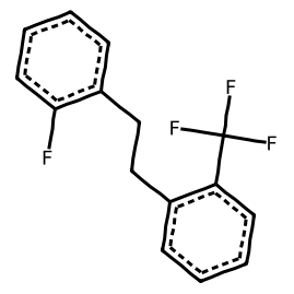 Fc1ccccc1CCc1ccccc1C(F)(F)F